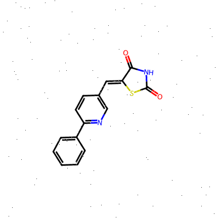 O=C1NC(=O)C(=Cc2ccc(-c3ccccc3)nc2)S1